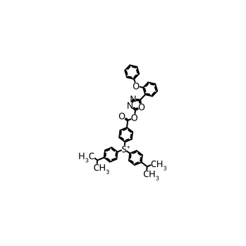 CC(C)c1ccc([S+](c2ccc(C(=O)Oc3nnc(-c4ccccc4Oc4ccccc4)o3)cc2)c2ccc(C(C)C)cc2)cc1